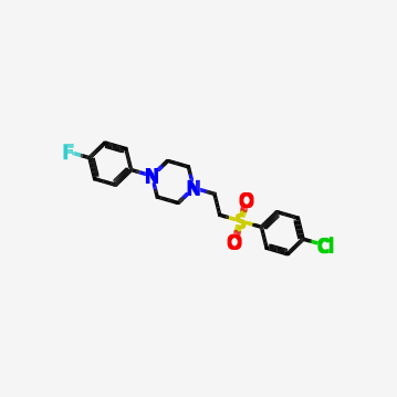 O=S(=O)(CCN1CCN(c2ccc(F)cc2)CC1)c1ccc(Cl)cc1